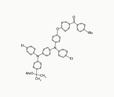 CCc1ccc(N(c2ccc(Oc3ccc(C(=O)c4ccc(C(C)(C)C)cc4)cc3)cc2)c2ccc(N(c3ccc(CC)cc3)c3ccc(C(C)(C)OC)cc3)cc2)cc1